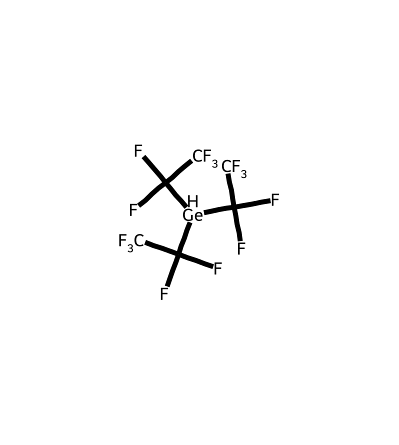 FC(F)(F)[C](F)(F)[GeH]([C](F)(F)C(F)(F)F)[C](F)(F)C(F)(F)F